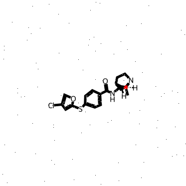 C[C@H]1[C@H](NC(=O)c2ccc(Sc3cc(Cl)co3)cc2)C2CCN1CC2